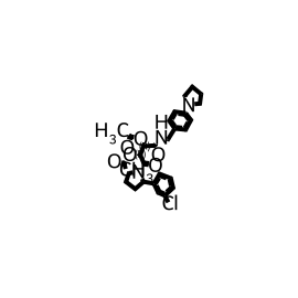 CC(=O)O[C@@H](C(=O)NCc1ccc(N2CCCC2)cc1)[C@@H](OC(C)=O)C(=O)N1CCCC1c1cccc(Cl)c1